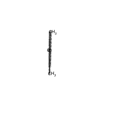 CCCCCCCCCCCCCCCCCCCCCCCCCCCCCCCCOC(=O)CCCCCCCCCCCCCCCCCCCCCCCCC